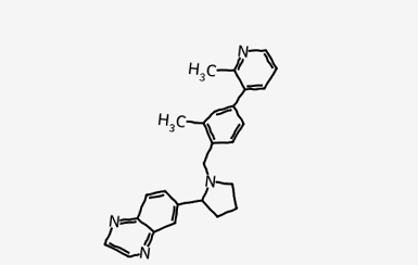 Cc1cc(-c2cccnc2C)ccc1CN1CCCC1c1ccc2nccnc2c1